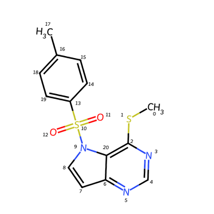 CSc1ncnc2ccn(S(=O)(=O)c3ccc(C)cc3)c12